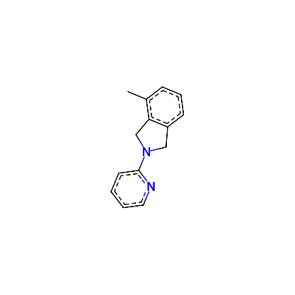 Cc1cccc2c1CN(c1ccccn1)C2